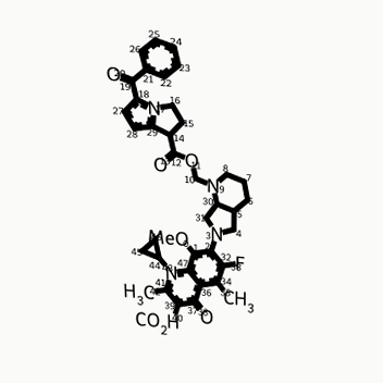 COc1c(N2CC3CCCN(COC(=O)C4CCn5c(C(=O)c6ccccc6)ccc54)C3C2)c(F)c(C)c2c(=O)c(C(=O)O)c(C)n(C3CC3)c12